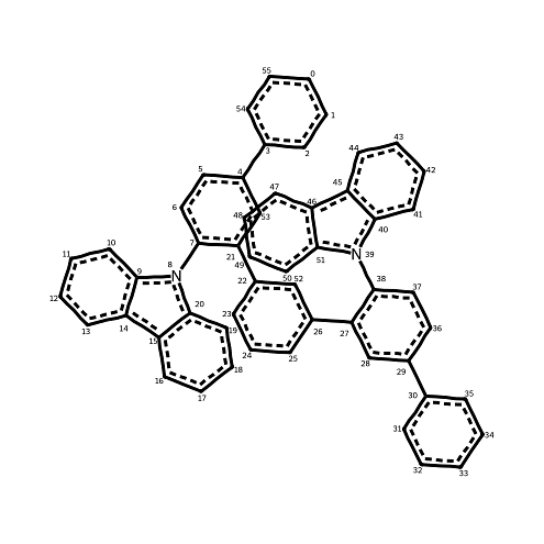 c1ccc(-c2ccc(-n3c4ccccc4c4ccccc43)c(-c3cccc(-c4cc(-c5ccccc5)ccc4-n4c5ccccc5c5ccccc54)c3)c2)cc1